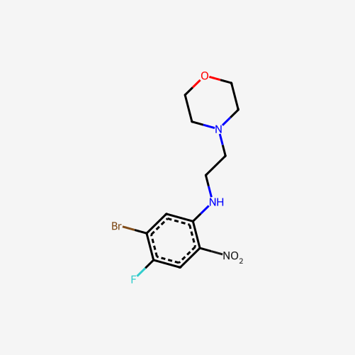 O=[N+]([O-])c1cc(F)c(Br)cc1NCCN1CCOCC1